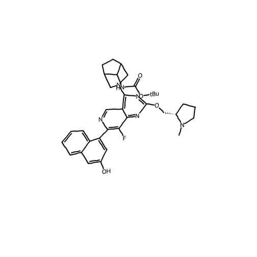 CN1CCC[C@H]1COc1nc(N2CC3CCC(C2)C3NC(=O)OC(C)(C)C)c2cnc(-c3cc(O)cc4ccccc34)c(F)c2n1